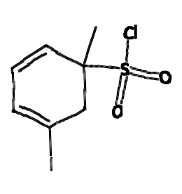 CC1=CC=CC(C)(S(=O)(=O)Cl)C1